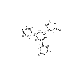 C=C/C=C(\C=C/C)c1cc(-c2ccncc2)cc(-c2ccncc2)c1